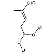 CCOP(CC=C(C)C=O)OCC